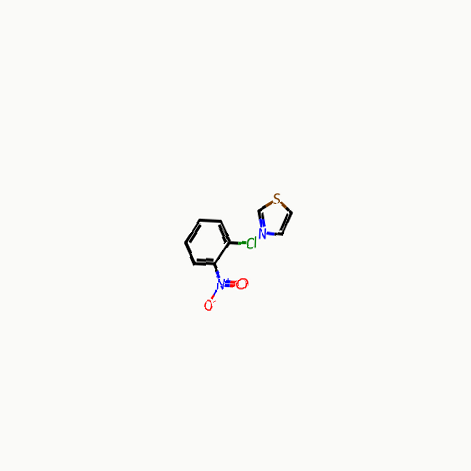 O=[N+]([O-])c1ccccc1Cl.c1cscn1